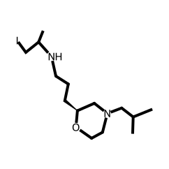 CC(C)CN1CCO[C@@H](CCCNC(C)CI)C1